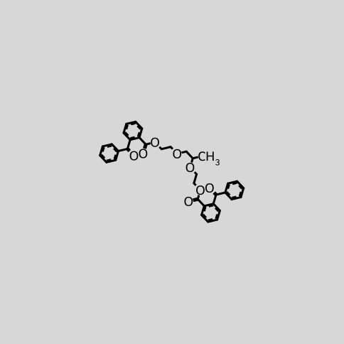 CC(COCCOC(=O)c1ccccc1C(=O)c1ccccc1)OCCOC(=O)c1ccccc1C(=O)c1ccccc1